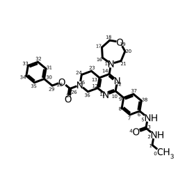 CCNC(=O)Nc1ccc(-c2nc3c(c(N4CCCOCC4)n2)CCN(C(=O)OCc2ccccc2)C3)cc1